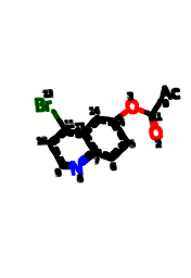 CC(=O)C(=O)Oc1ccc2nccc(Br)c2c1